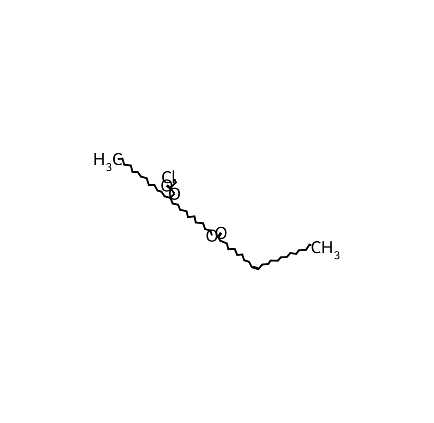 CCCCCCCCCCCC/C=C\CCCCCCCCC(=O)OCCCCCCCCCCC(CCCCCCCCCCCCC)OC(=O)CCl